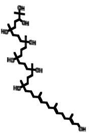 C/C(=C\CO)CC/C=C(\C)CC/C=C(\C)CCCC(C)(O)CCCC(C)(O)CCCC(C)(O)CCCC(C)(O)CCCC(C)(O)CCC(O)C(C)(C)O